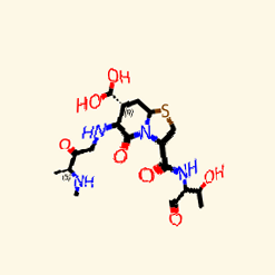 CN[C@@H](C)C(=O)CNC1C(=O)N2C(C[C@H]1C(O)O)SCC2C(=O)NC(C=O)C(C)O